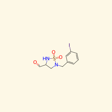 O=CC1CN(Cc2cccc(I)c2)S(=O)(=O)N1